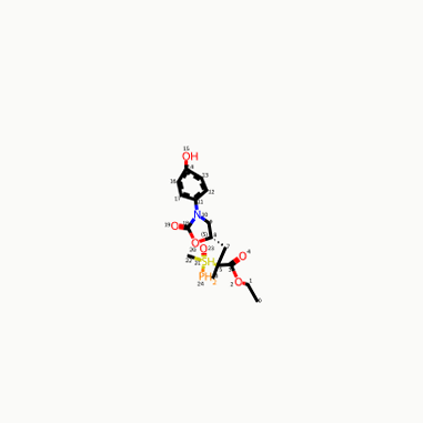 CCOC(=O)C(C)(C[C@H]1CN(c2ccc(O)cc2)C(=O)O1)[SH](C)(=O)P